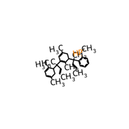 CC=CC(C)(C1=C(C)C(C(C)(C=CC)c2ccccc2PC)CC(C)=C1)C1CC(C)=CC=C1C